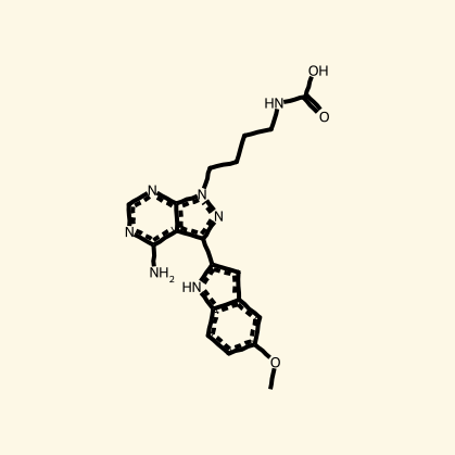 COc1ccc2[nH]c(-c3nn(CCCCNC(=O)O)c4ncnc(N)c34)cc2c1